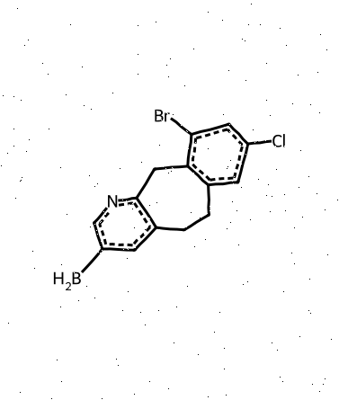 Bc1cnc2c(c1)CCc1cc(Cl)cc(Br)c1C2